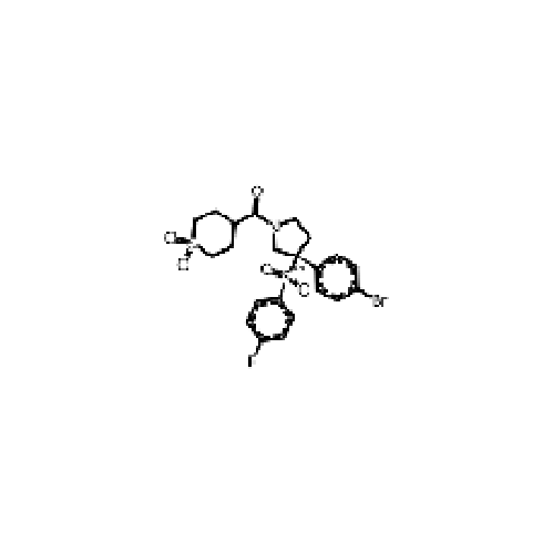 O=C(C1CCS(=O)(=O)CC1)N1CC[C@](c2ccc(Br)cc2)(S(=O)(=O)c2ccc(F)cc2)C1